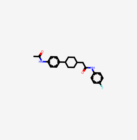 CC(=O)Nc1ccc(C2CCC(CC(=O)Nc3ccc(F)cc3)CC2)cc1